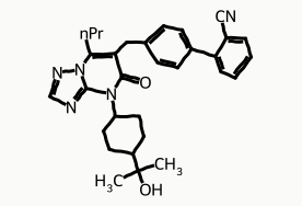 CCCc1c(Cc2ccc(-c3ccccc3C#N)cc2)c(=O)n(C2CCC(C(C)(C)O)CC2)c2ncnn12